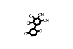 N#Cc1cc(C2=CC(=O)C=CC2=O)c(Cl)c(Cl)c1C#N